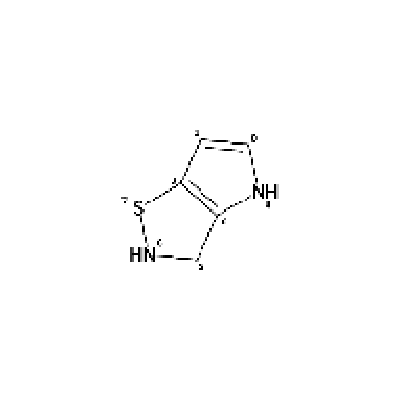 c1cc2c([nH]1)CNS2